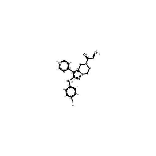 C=CC(=O)N1CCn2nc(Nc3ccc(F)cc3)c(-c3ccncc3)c2C1